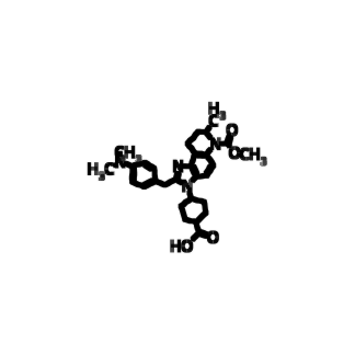 COC(=O)N1c2ccc3c(nc(Cc4ccc(N(C)C)cc4)n3C3CCC(C(=O)O)CC3)c2CCC1C